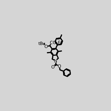 CCOC(=O)C(OC(C)(C)C)c1c(C)c2c(c(C)c1-c1ccc(C)cc1)CN(C(=O)OCc1ccccc1)C2